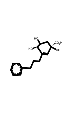 O=C(O)[C@]1(O)C=C(CCCc2ccccc2)[C@@H](O)C(O)C1